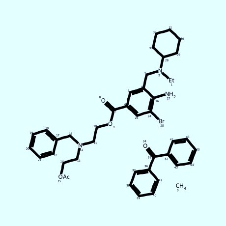 C.CCN(Cc1cc(C(=O)OCCN(CCOC(C)=O)Cc2ccccc2)cc(Br)c1N)C1CCCCC1.O=C(c1ccccc1)c1ccccc1